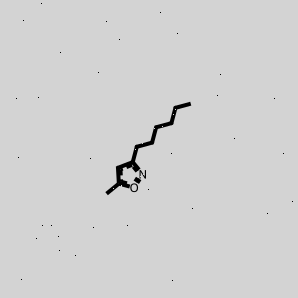 CCCCCCc1cc(C)on1